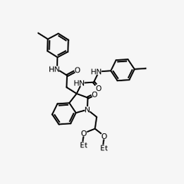 CCOC(CN1C(=O)C(CC(=O)Nc2cccc(C)c2)(NC(=O)Nc2ccc(C)cc2)c2ccccc21)OCC